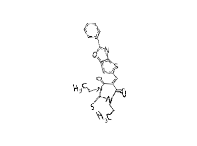 CCN1C(=O)C(=Cc2cc3oc(-c4ccccc4)nc3s2)C(=O)N(CC)C1=S